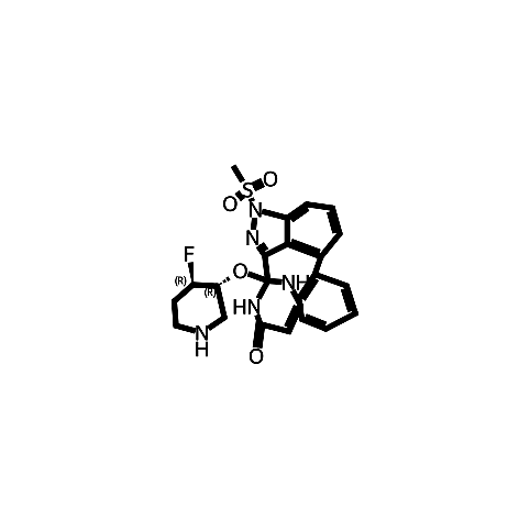 CS(=O)(=O)n1nc(C2(O[C@@H]3CNCC[C@H]3F)NC=CC(=O)N2)c2c(-c3ccccc3)cccc21